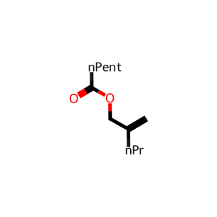 C=C(CCC)COC(=O)CCCCC